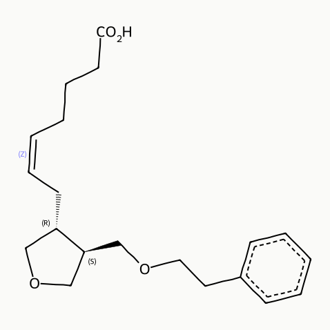 O=C(O)CCC/C=C\C[C@H]1COC[C@@H]1COCCc1ccccc1